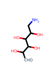 NCC(O)C(O)C(O)C(O)C=O